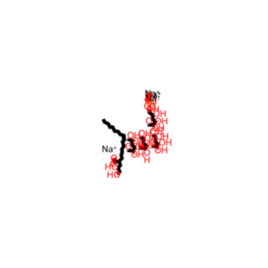 CCCCCCCC/C=C\CCCCCCC(CC(O)CO)C(=O)[O-].O=P([O-])([O-])[O-].OC[C@@H](O)[C@H]1OC[C@H](O)[C@H]1O.OC[C@@H](O)[C@H]1OC[C@H](O)[C@H]1O.OC[C@@H](O)[C@H]1OC[C@H](O)[C@H]1O.OC[C@@H](O)[C@H]1OC[C@H](O)[C@H]1O.[Na+].[Na+].[Na+].[Na+]